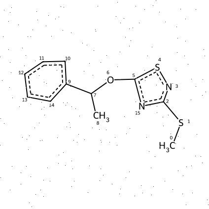 CSc1nsc(OC(C)c2ccccc2)n1